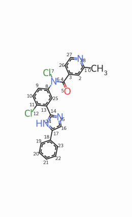 Cc1cc(C(=O)N(Cl)c2ccc(Cl)c(-c3ncc(-c4ccccc4)[nH]3)c2)ccn1